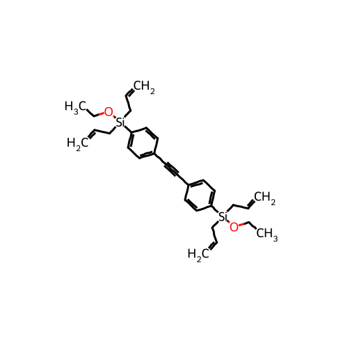 C=CC[Si](CC=C)(OCC)c1ccc(C#Cc2ccc([Si](CC=C)(CC=C)OCC)cc2)cc1